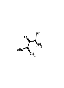 C=C(CCCC)C(=O)[C@@H](N)C(C)C